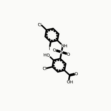 O=C(O)c1cc(Cl)c(O)c(S(=O)(=O)Nc2ccc(Cl)cc2I)c1